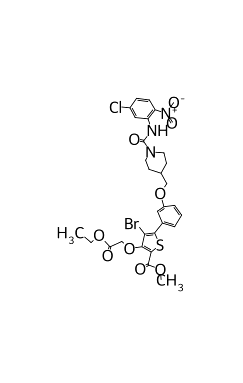 CCOC(=O)COc1c(C(=O)OC)sc(-c2cccc(OCC3CCN(C(=O)Nc4cc(Cl)ccc4[N+](=O)[O-])CC3)c2)c1Br